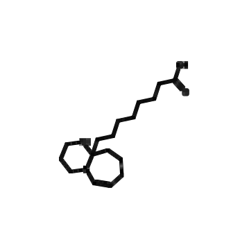 O=C(O)CCCCCCCC12CCCC=CN1CCCN2